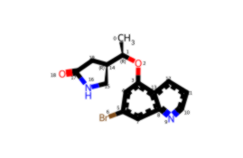 C[C@@H](Oc1cc(Br)cc2ncccc12)[C@H]1CNC(=O)C1